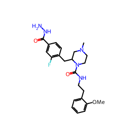 COc1ccccc1CCNC(=O)N1CCN(C)CC1Cc1ccc(C(=O)NN)cc1F